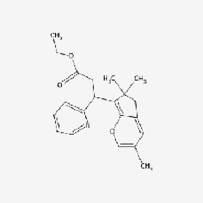 CCOC(=O)CC(C1=C2OC=C(C)C=C2CC1(C)C)c1ccccn1